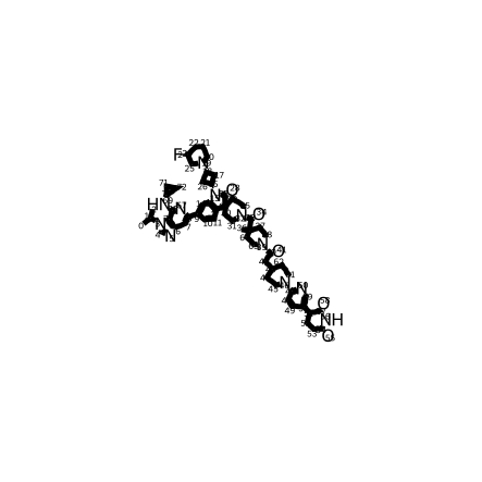 CC(C)n1cnc2cc(-c3ccc4c(c3)N([C@H]3C[C@@H](N5CCC[C@@H](F)C5)C3)C(=O)C43CCN(C(=O)C4(C)CCN(C(=O)CC5CCN(c6ccc(C7CCC(=O)NC7=O)cn6)CC5)CC4)CC3)nc(NC3CC3)c21